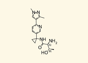 Cc1nn(C)cc1-c1ccc(C2(NC(=O)[C@@H](N)[C@@H](C)O)CC2)cn1